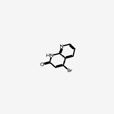 O=c1cc(Br)c2cccnc2[nH]1